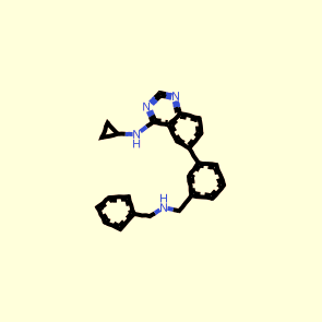 c1ccc(CNCc2cccc(-c3ccc4ncnc(NC5CC5)c4c3)c2)cc1